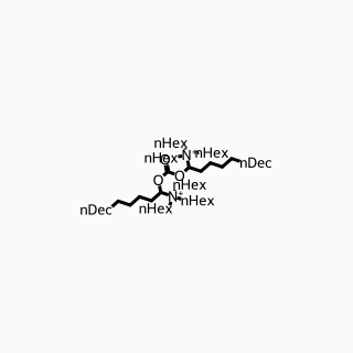 CCCCCCCCCCCCCCC(OC(=O)OC(CCCCCCCCCCCCCC)[N+](CCCCCC)(CCCCCC)CCCCCC)[N+](CCCCCC)(CCCCCC)CCCCCC